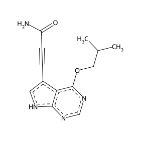 CC(C)COc1ncnc2[nH]cc(C#CC(N)=O)c12